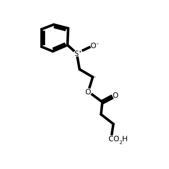 O=C(O)CCC(=O)O[CH]C[S+]([O-])c1ccccc1